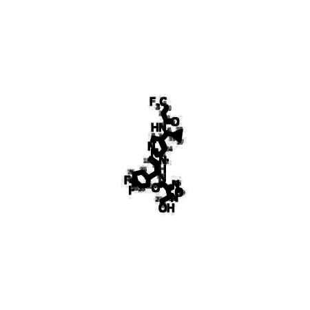 O=C(CCC(F)(F)F)NC(c1cnn2cc([C@@H](NC(=O)c3nonc3CO)C3CCC(F)(F)CC3)nc2c1)C1CC1